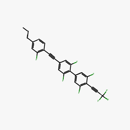 CCCc1ccc(C#Cc2cc(F)c(-c3cc(F)c(C#CC(F)(F)F)c(F)c3)c(F)c2)c(F)c1